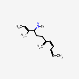 C=C(/C=C\C=C/C)CCC(NCC)/C(C)=C/C